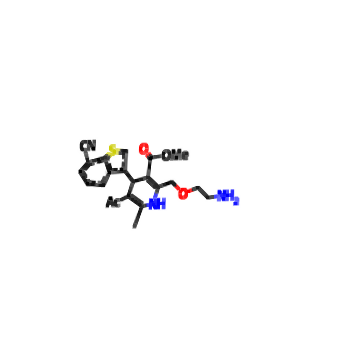 COC(=O)C1=C(COCCN)NC(C)=C(C(C)=O)C1c1csc2c(C#N)cccc12